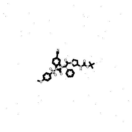 COc1ccc(S(=O)(=O)n2c(=O)n([C@H](C(=O)N3CCC(NC(=O)OC(C)(C)C)C3)c3ccccc3)c3cc(C#N)ccc32)cc1